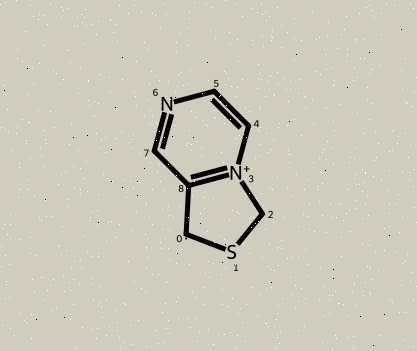 [CH]1SC[n+]2ccncc21